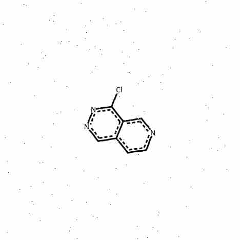 Clc1nncc2ccncc12